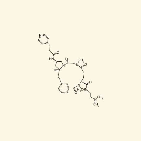 CN(C)CCNC(=O)[C@@H]1CCC(=O)N(C)CC(=O)N2C[C@H](NC(=O)CCc3ccncc3)C[C@H]2CSc2cccc(c2)C(=O)N1C